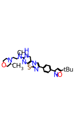 C[C@@H]1COCCN1CCN(C)C1=Nc2sc3nc(-c4ccc(-c5cc(C(C)(C)C)on5)cc4)cn3c2CN1